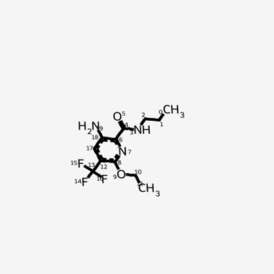 CCCNC(=O)c1nc(OCC)c(C(F)(F)F)cc1N